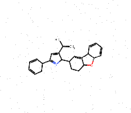 CC(C)C1=CC(C2C=CC=CC2)=NC1C1C=C2C(CC1)OC1C=CC=CC21